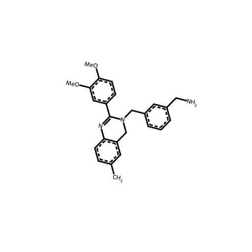 COc1ccc(C2=Nc3ccc(C)cc3CN2Cc2cccc(CN)c2)cc1OC